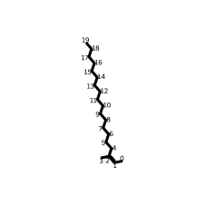 CC=C(C)CCCCCCCCCCCCCCCC